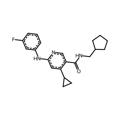 O=C(NCC1CCCC1)c1cnc(Nc2cccc(F)c2)cc1C1CC1